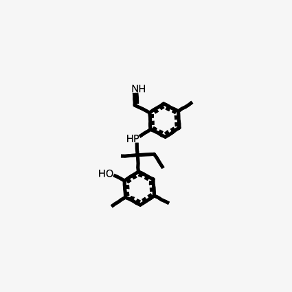 CCC(C)(Pc1ccc(C)cc1C=N)c1cc(C)cc(C)c1O